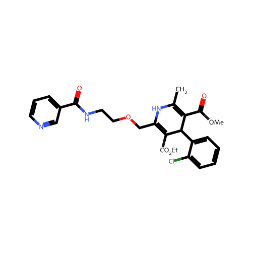 CCOC(=O)C1=C(COCCNC(=O)c2cccnc2)NC(C)=C(C(=O)OC)C1c1ccccc1Cl